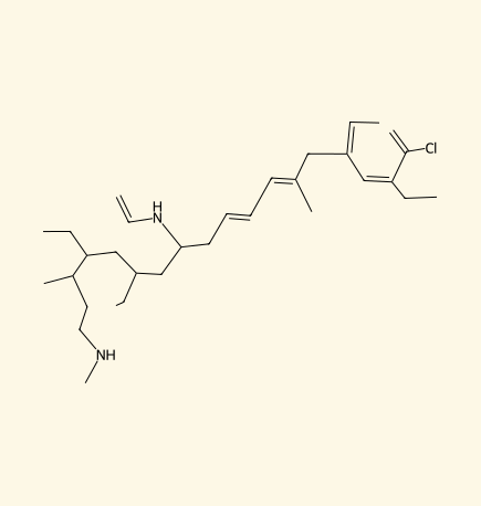 C=CNC(C/C=C/C=C(\C)CC(=C/C)/C=C(/CC)C(=C)Cl)CC(CC)CC(CC)C(C)CCNC